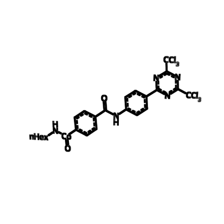 CCCCCC[NH][Co](=[O])[c]1ccc(C(=O)Nc2ccc(-c3nc(C(Cl)(Cl)Cl)nc(C(Cl)(Cl)Cl)n3)cc2)cc1